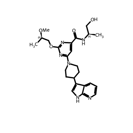 CO[C@H](C)COc1nc(C(=O)N[C@H](C)CO)cc(N2CCC(c3c[nH]c4ncccc34)CC2)n1